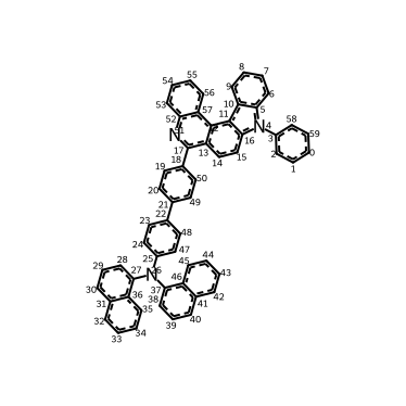 c1ccc(-n2c3ccccc3c3c4c(ccc32)c(-c2ccc(-c3ccc(N(c5cccc6ccccc56)c5cccc6ccccc56)cc3)cc2)nc2ccccc24)cc1